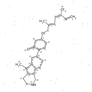 C=N/C(=C\C=C(/C)COc1ccn(-c2ccc3c4c(n(C)c3c2)CCNC4)c(=O)c1)C(F)(F)F